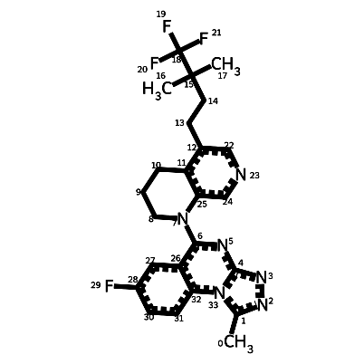 Cc1nnc2nc(N3CCCc4c(CCC(C)(C)C(F)(F)F)cncc43)c3cc(F)ccc3n12